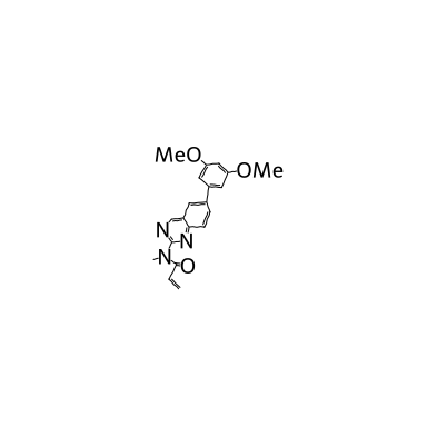 C=CC(=O)N(C)c1ncc2cc(-c3cc(OC)cc(OC)c3)ccc2n1